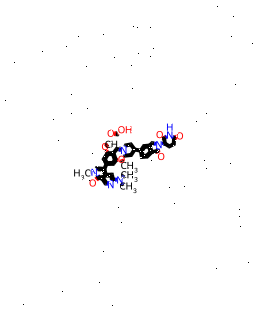 COc1cc(-c2cn(C)c(=O)c3cnc(N(C)C)cc23)cc(OC)c1CN1CCC(c2ccc3c(c2)CN(C2CCC(=O)NC2=O)C3=O)CC1.O=CO